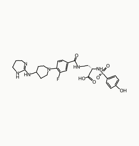 O=C(NC[C@H](NS(=O)(=O)c1ccc(O)cc1)C(=O)O)c1ccc(N2CCC(NC3=NCCCN3)CC2)c(F)c1